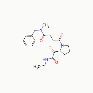 CCNC(=O)C(=O)[C@@H]1CCCN1C(=O)CCC(=O)N(C)Cc1ccccc1